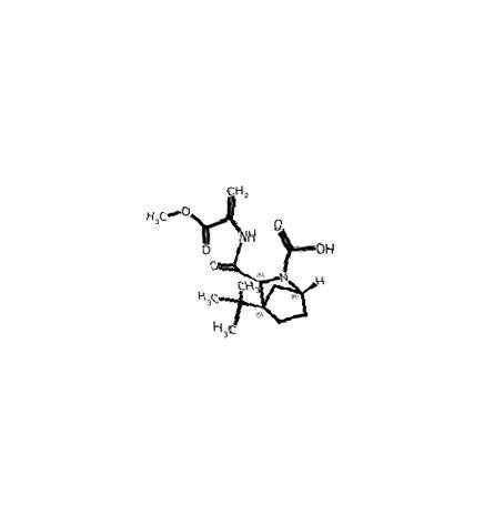 C=C(NC(=O)[C@H]1N(C(=O)O)[C@@H]2CC[C@@]1(C(C)(C)C)C2)C(=O)OC